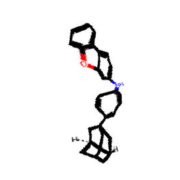 c1ccc2c(c1)oc1cc(Nc3ccc(C45C[C@@H]6CC7C[C@@H](C4)C76C5)cc3)ccc12